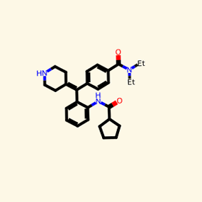 CCN(CC)C(=O)c1ccc(C(=C2CCNCC2)c2ccccc2NC(=O)C2CCCC2)cc1